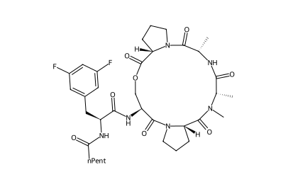 CCCCCC(=O)N[C@@H](Cc1cc(F)cc(F)c1)C(=O)N[C@H]1COC(=O)[C@@H]2CCCN2C(=O)[C@H](C)NC(=O)[C@H](C)N(C)C(=O)[C@@H]2CCCN2C1=O